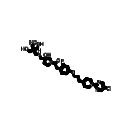 O=C(Cc1ccc(OCCCC2CCN(c3ncc(Cl)cn3)CC2)cc1F)N1CCC(O)(CNCC(CO)(CO)CO)C1